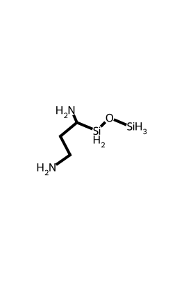 NCCC(N)[SiH2]O[SiH3]